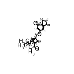 CC(C)(C)N1CC2(COc3cc4n(c(=O)c3)CCC4)CC1(C=O)C2